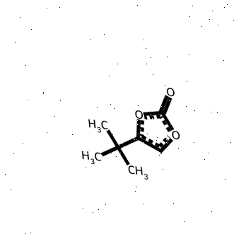 CC(C)(C)c1[c]oc(=O)o1